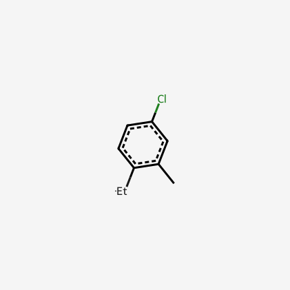 C[CH]c1ccc(Cl)cc1C